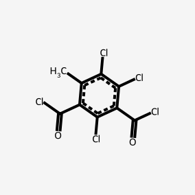 Cc1c(Cl)c(Cl)c(C(=O)Cl)c(Cl)c1C(=O)Cl